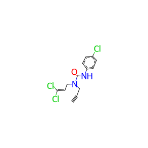 C#CCN(CC=C(Cl)Cl)C(=O)Nc1ccc(Cl)cc1